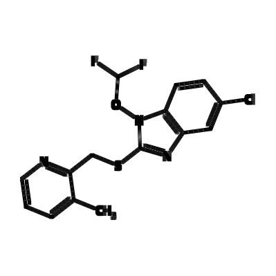 Cc1cccnc1CSc1nc2cc(Cl)ccc2n1OC(F)F